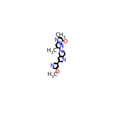 COc1cncc(-c2cnc3c(c2)CN(c2nn4c(=O)cc(C)nc4cc2C)CC3)c1